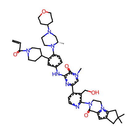 C=CC(=O)N1CCC(c2cc(Nc3nc(-c4ccnc(N5CCn6c(cc7c6CC(C)(C)C7)C5=O)c4CO)cn(C)c3=O)ccc2N2CCN(C3CCOCC3)C[C@@H]2C)CC1